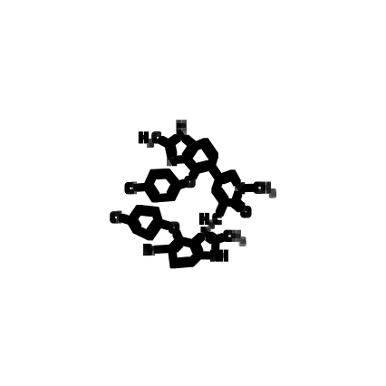 Cc1nc2c(Oc3ccc(Cl)cc3)c(-c3cc(C)c(=O)n(C)c3)ccc2[nH]1.Cc1nc2c(Oc3ccc(Cl)cc3)c(Br)ccc2[nH]1